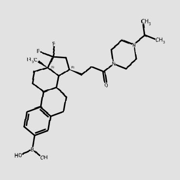 CC(C)N1CCN(C(=O)CC[C@@H]2CC(F)(F)[C@@]3(C)CCC4c5ccc(B(O)O)cc5CCC4C23)CC1